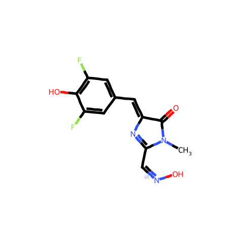 CN1C(=O)C(=Cc2cc(F)c(O)c(F)c2)N=C1/C=N\O